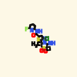 C[C@@]1(c2sc(C(=O)Nc3cccc(F)n3)cc2Cl)CS(=O)(=O)C2(CCC2)C(=N)N1